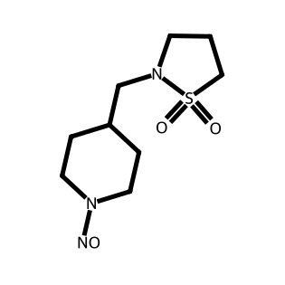 O=NN1CCC(CN2CCCS2(=O)=O)CC1